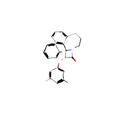 COc1cc(OC)cc(O[C@@H]2C(=O)N3CCCc4ccccc4[C@@]23c2ccccc2)c1